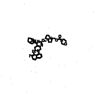 CCc1c(F)ccc2cccc(N3CCc4c(nc(OC[C@]56CCCN5[C@@H](COC(=O)N5CCOCC5)CC6)nc4N4CC5CCC(C4)N5)C3)c12